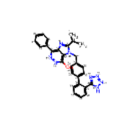 CC(C)c1nc2c(-c3ccccc3)nnc(O)c2n1Cc1ccc(-c2ccccc2-c2nnn[nH]2)cc1